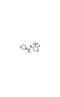 C[C@@H]1C[C@H](N(C)C(=O)N2CCOCC2)[C@@H](O)C(I)O1